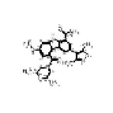 Cc1noc(C)c1-c1cc(C(N)=O)c2[nH]c3cc(OC(F)(F)F)cc(C(=O)N4C[C@@H](C)O[C@@H](C)C4)c3c2c1